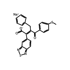 CSc1ccc(C(=O)C(Cc2ccccc2)=C(C(=O)[O-])c2ccc3nsnc3c2)cc1.[Na+]